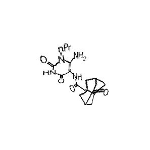 CCCn1c(N)c(NC(=O)C23CC4CC2CC(C3)C4=O)c(=O)[nH]c1=O